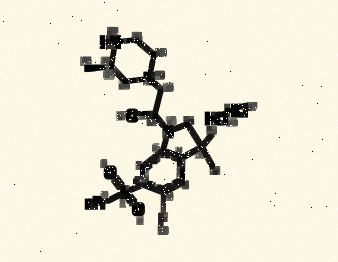 CCCS(=O)(=O)c1cc2c(cc1F)C(C)(C)CN2C(=O)CN1CCN[C@H](C)C1.Cl.Cl